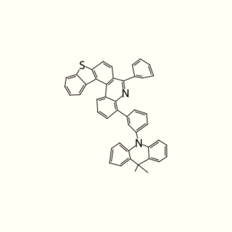 CC1(C)c2ccccc2N(c2cccc(-c3cccc4c3nc(-c3ccccc3)c3ccc5sc6ccccc6c5c34)c2)c2ccccc21